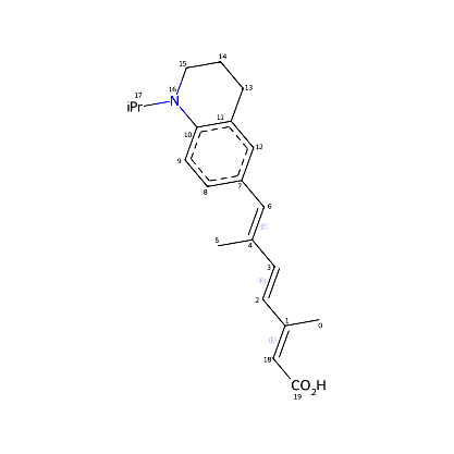 CC(/C=C/C(C)=C/c1ccc2c(c1)CCCN2C(C)C)=C\C(=O)O